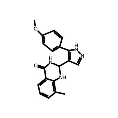 COc1ccc(-c2[nH]ncc2C2NC(=O)c3cccc(C)c3N2)cc1